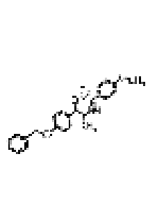 COc1ccc([C@@H](C)NC(C)C(=O)c2ccc(OCc3ccccc3)cc2)cc1